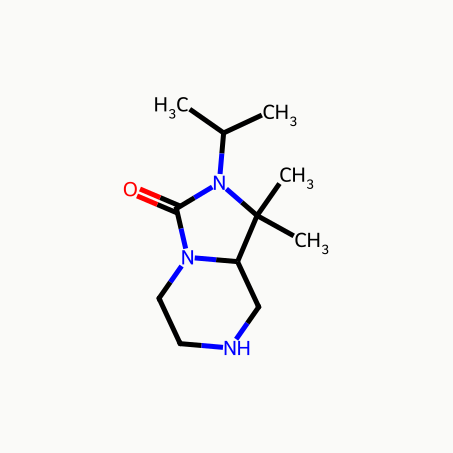 CC(C)N1C(=O)N2CCNCC2C1(C)C